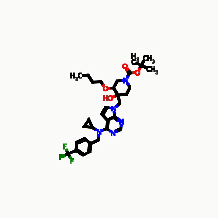 CCCCOC1CN(C(=O)OC(C)(C)C)CCC1(O)Cn1ccc2c(N(Cc3ccc(C(F)(F)F)cc3)C3CC3)ncnc21